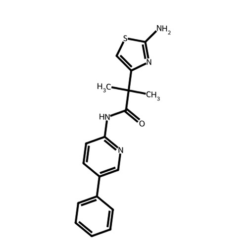 CC(C)(C(=O)Nc1ccc(-c2ccccc2)cn1)c1csc(N)n1